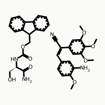 COc1ccc(/C=C(/C#N)c2cc(OC)c(OC)c(OC)c2)cc1N.NC(=O)[C@H](CO)NC(=O)OCC1c2ccccc2-c2ccccc21